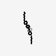 CCCCCCCC1CC=C(c2ccc(C(=O)O[C@H]3CC[C@H](CCCCCCC)CC3)cc2)CC1